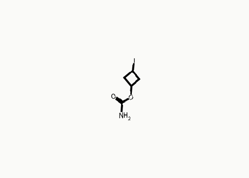 NC(=O)OC1CC(I)C1